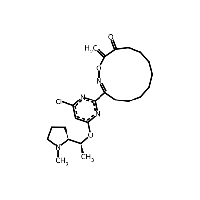 C=C1O/N=C(/c2nc(Cl)cc(O[C@@H](C)[C@@H]3CCCN3C)n2)CCCCCCCCC1=O